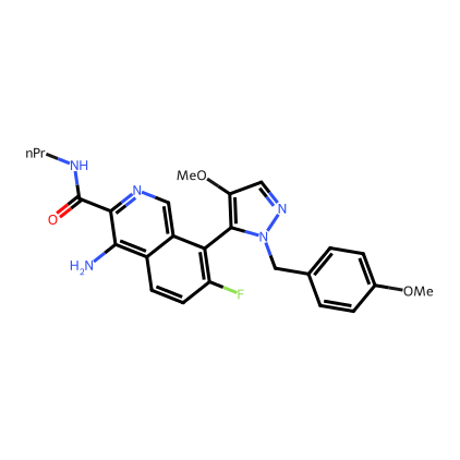 CCCNC(=O)c1ncc2c(-c3c(OC)cnn3Cc3ccc(OC)cc3)c(F)ccc2c1N